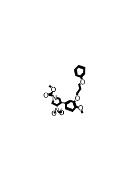 COC(=O)N1C[C@@H]([N+](=O)[O-])[C@H](c2ccc(OC)c(OCCCOc3ccccc3)c2)C1